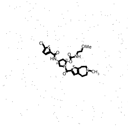 COCCNC(=O)O[C@H]1C[C@@H](NC(=O)c2ccc(Cl)s2)CN1C(=O)c1cc2c(s1)CCN(C)CC2